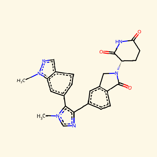 Cn1cnc(-c2ccc3c(c2)CN([C@H]2CCC(=O)NC2=O)C3=O)c1-c1ccc2cnn(C)c2c1